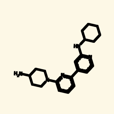 NC1CCN(c2cccc(-c3ccnc(NC4CCCCC4)c3)n2)CC1